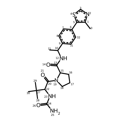 Cc1ncsc1-c1ccc(C(C)NC(=O)C2CCCN2C(=O)C(NC(N)=O)C(C)(C)C)cc1